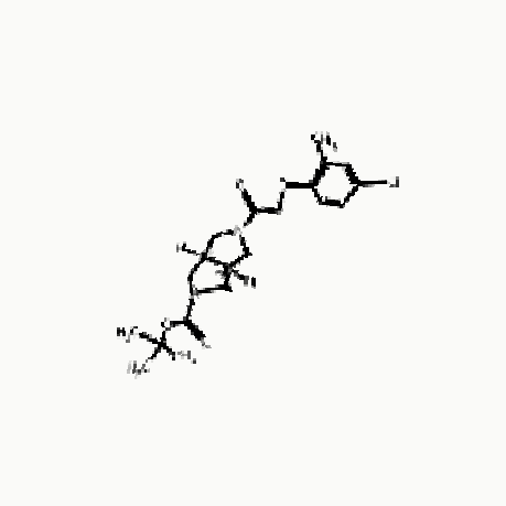 Cc1cc(Cl)ccc1OCC(=O)N1C[C@@H]2CN(C(=O)OC(C)(C)C)C[C@@H]2C1